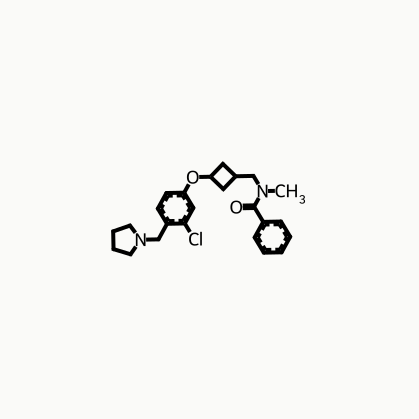 CN(CC1CC(Oc2ccc(CN3CCCC3)c(Cl)c2)C1)C(=O)c1ccccc1